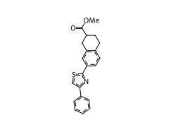 COC(=O)C1CCc2ccc(-c3nc(-c4ccccc4)cs3)cc2C1